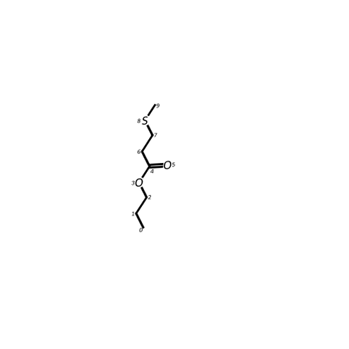 CCCOC(=O)CCSC